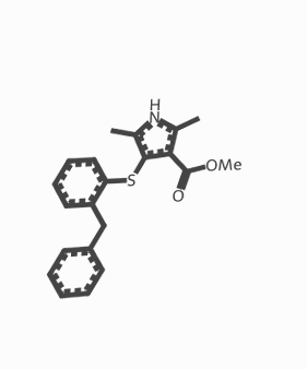 COC(=O)c1c(C)[nH]c(C)c1Sc1ccccc1Cc1ccccc1